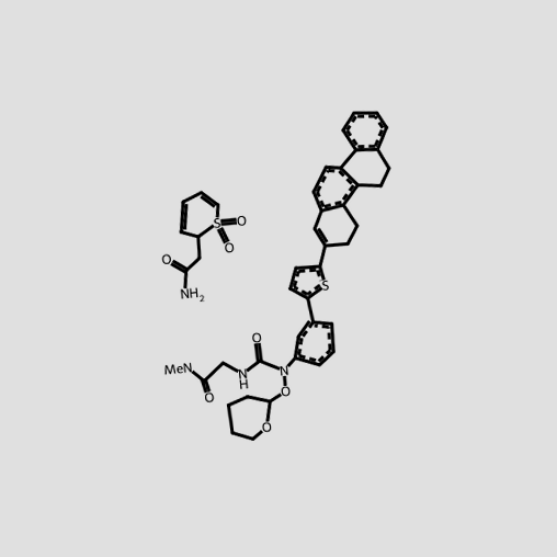 CNC(=O)CNC(=O)N(OC1CCCCO1)c1cccc(-c2ccc(C3=Cc4ccc5c(c4CC3)CCc3ccccc3-5)s2)c1.NC(=O)CC1C=CC=CS1(=O)=O